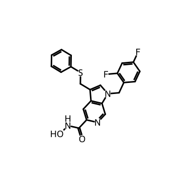 O=C(NO)c1cc2c(CSc3ccccc3)cn(Cc3ccc(F)cc3F)c2cn1